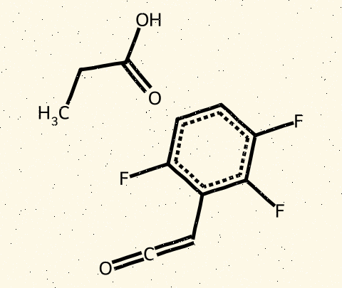 CCC(=O)O.O=C=Cc1c(F)ccc(F)c1F